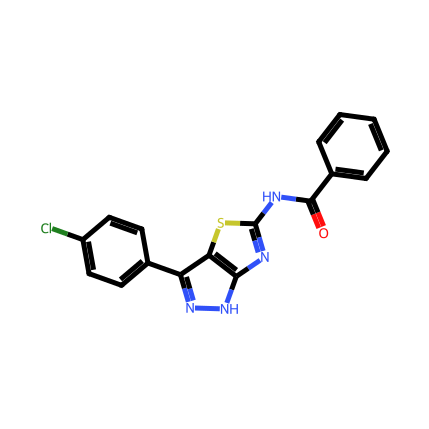 O=C(Nc1nc2[nH]nc(-c3ccc(Cl)cc3)c2s1)c1ccccc1